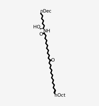 CCCCCCCCC=CCCCCCCCCCCCC(=O)CCCCCCCCCCC(=O)N[C@@H](CO)CCCCCCCCCCCCCCCC